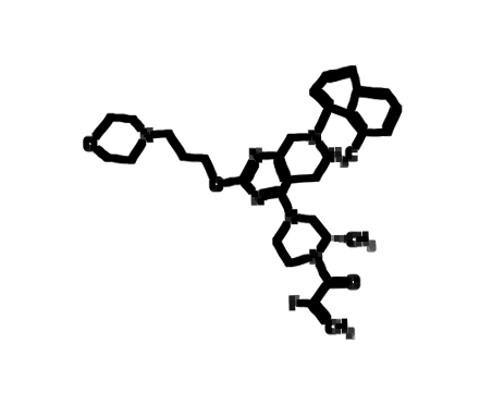 C=C(F)C(=O)N1CCN(c2nc(OCCCN3CCOCC3)nc3c2CCN(c2cccc4cccc(C)c24)C3)C[C@@H]1C